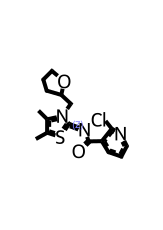 Cc1s/c(=N\C(=O)c2cccnc2Cl)n(CC2CCCO2)c1C